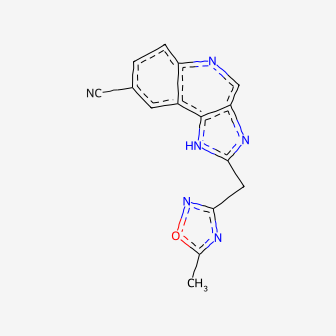 Cc1nc(Cc2nc3cnc4ccc(C#N)cc4c3[nH]2)no1